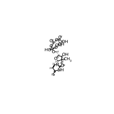 CC1(F)[C@@H](O)[C@@H](COP(=O)(O)OP(=O)(O)OP(=O)(O)O)O[C@H]1n1ccc(=S)[nH]c1=O